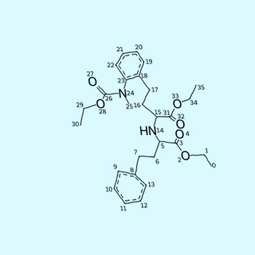 CCOC(=O)C(CCc1ccccc1)NC(CCc1ccccc1N(C)C(=O)OCC)C(=O)OCC